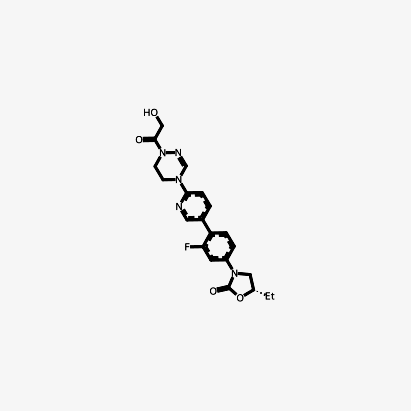 CC[C@H]1CN(c2ccc(-c3ccc(N4C=NN(C(=O)CO)CC4)nc3)c(F)c2)C(=O)O1